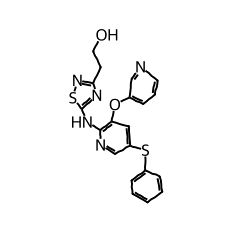 OCCc1nsc(Nc2ncc(Sc3ccccc3)cc2Oc2cccnc2)n1